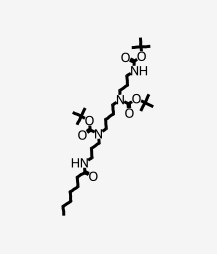 CCCCCCC(=O)NCCCN(CCCCN(CCCNC(=O)OC(C)(C)C)C(=O)OC(C)(C)C)C(=O)OC(C)(C)C